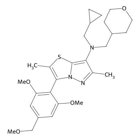 COCc1cc(OC)c(-c2c(C)sc3c(N(CC4CCOCC4)CC4CC4)c(C)nn23)c(OC)c1